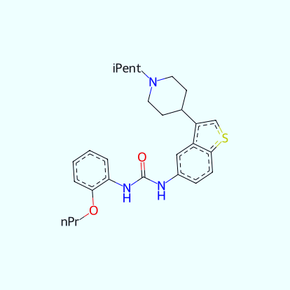 CCCOc1ccccc1NC(=O)Nc1ccc2scc(C3CCN(C(C)CCC)CC3)c2c1